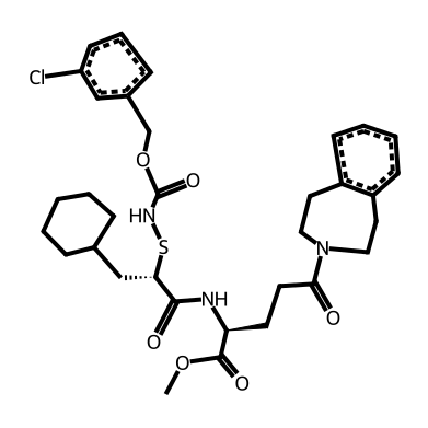 COC(=O)[C@H](CCC(=O)N1CCc2ccccc2CC1)NC(=O)[C@H](CC1CCCCC1)SNC(=O)OCc1cccc(Cl)c1